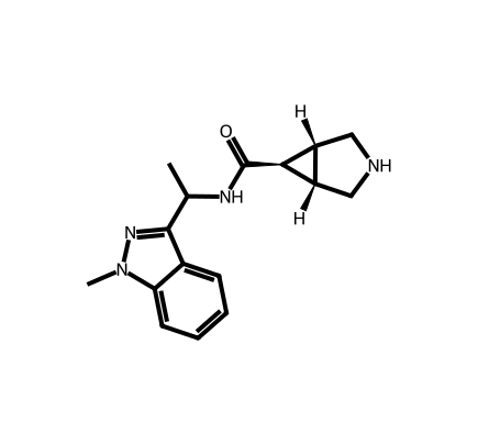 CC(NC(=O)[C@H]1[C@@H]2CNC[C@@H]21)c1nn(C)c2ccccc12